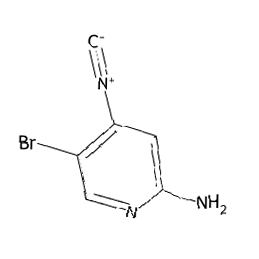 [C-]#[N+]c1cc(N)ncc1Br